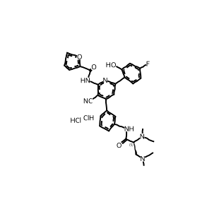 CN(C)C[C@@H](C(=O)Nc1cccc(-c2cc(-c3ccc(F)cc3O)nc(NC(=O)c3ccco3)c2C#N)c1)N(C)C.Cl.Cl